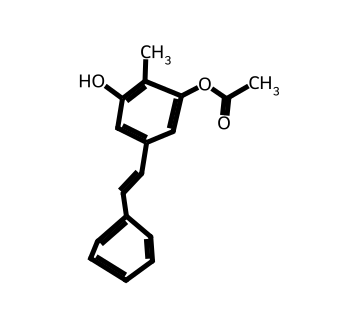 CC(=O)Oc1cc(C=Cc2ccccc2)cc(O)c1C